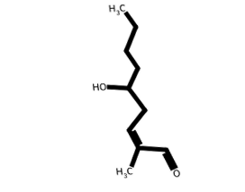 CCCCC(O)CC=C(C)C=O